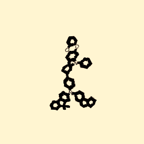 CC1(C)c2ccccc2-c2ccc(N(c3ccc(-c4ccc5c6cc7c(cc6n(-c6ccccc6)c5c4)Oc4ccccc4O7)cc3)c3ccc4c(ccc5ccccc54)c3)cc21